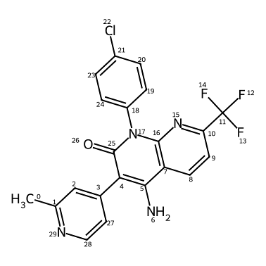 Cc1cc(-c2c(N)c3ccc(C(F)(F)F)nc3n(-c3ccc(Cl)cc3)c2=O)ccn1